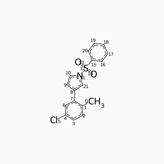 Cc1ccc(Cl)cc1-c1ccn(S(=O)(=O)c2ccccc2)c1